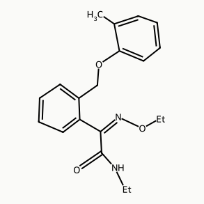 CCNC(=O)C(=NOCC)c1ccccc1COc1ccccc1C